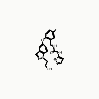 O=C(NCc1cc(F)ccc1Oc1ccc2c(cnn2CCO)c1)Nc1ccn[nH]1